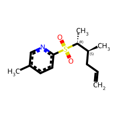 C=CC[C@H](C)[C@@H](C)S(=O)(=O)c1ccc(C)cn1